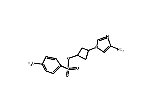 Cc1ccc(S(=O)(=O)OC2CC(n3cnc([N+](=O)[O-])c3)C2)cc1